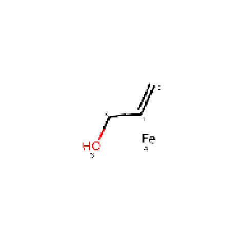 C=CCO.[Fe]